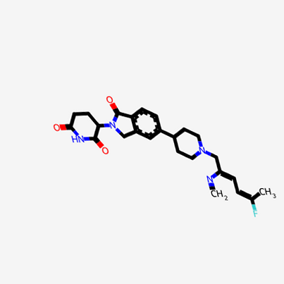 C=N/C(=C\C=C(/C)F)CN1CCC(c2ccc3c(c2)CN(C2CCC(=O)NC2=O)C3=O)CC1